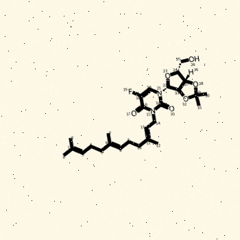 CC(C)=CCC/C(C)=C/CC/C(C)=C/Cn1c(=O)c(F)cn([C@@H]2O[C@H](CO)[C@@H]3OC(C)(C)OC32)c1=O